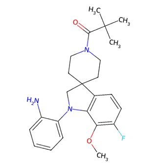 COc1c(F)ccc2c1N(c1ccccc1N)CC21CCN(C(=O)C(C)(C)C)CC1